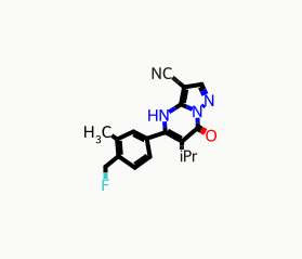 Cc1cc(-c2[nH]c3c(C#N)cnn3c(=O)c2C(C)C)ccc1CF